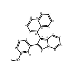 COc1cccc(-c2nn3ccccc3c2-c2ccnc3ccccc23)n1